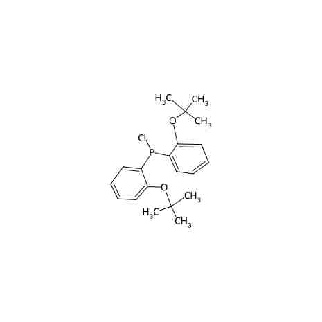 CC(C)(C)Oc1ccccc1P(Cl)c1ccccc1OC(C)(C)C